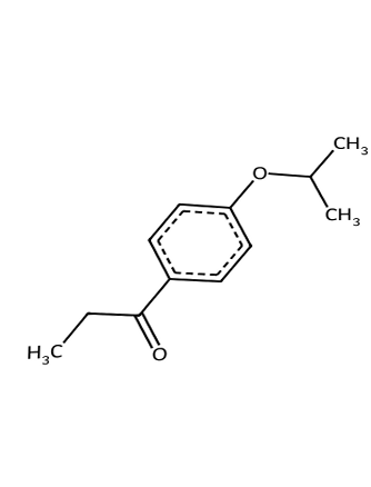 CCC(=O)c1ccc(OC(C)C)cc1